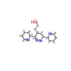 OCCc1cc(-c2ccccn2)nnc1-c1ccccn1